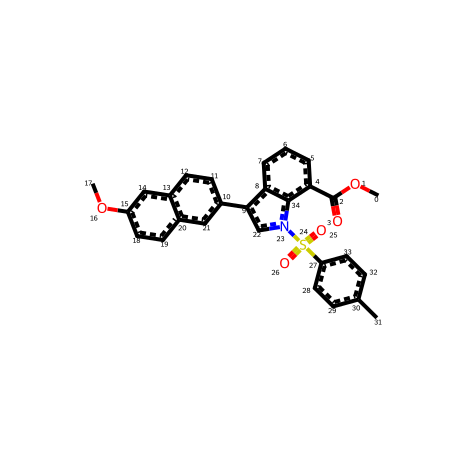 COC(=O)c1cccc2c(-c3ccc4cc(OC)ccc4c3)cn(S(=O)(=O)c3ccc(C)cc3)c12